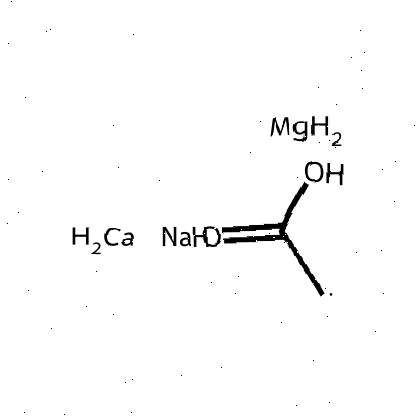 [CH2]C(=O)O.[CaH2].[MgH2].[NaH]